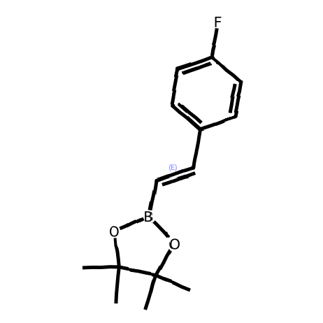 CC1(C)OB(/C=C/c2ccc(F)cc2)OC1(C)C